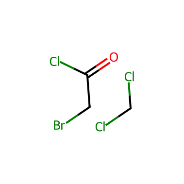 ClCCl.O=C(Cl)CBr